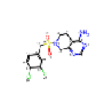 Nc1ncnc2c1CCN(S(=O)(=O)Cc1ccc(Cl)c(Cl)c1)C2